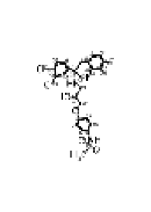 CS(=O)(=O)Nc1ccc(OCC(O)CNCC(Cc2ccc(F)c(F)c2F)c2ccc(Cl)c(Cl)c2)cc1